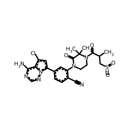 CC(C[SH](=O)=O)C(=O)N1CCN(c2cc(-c3cc(Cl)c4c(N)ncnn34)ccc2C#N)C(=O)C1(C)C